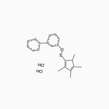 CC1=C(C)C(C)[C]([Ti][O]c2cccc(-c3ccccc3)c2)=C1C.Cl.Cl